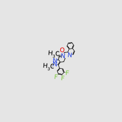 C[C@H]1c2nn(C)c(-c3cc(F)c(F)c(F)c3)c2CCN1C(=O)c1nccc2ccccc12